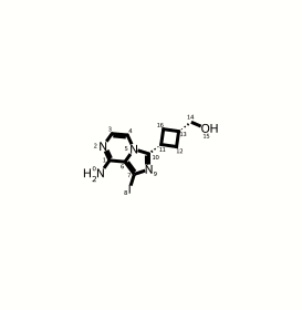 Nc1nccn2c1c(I)nc2[C@H]1C[C@@H](CO)C1